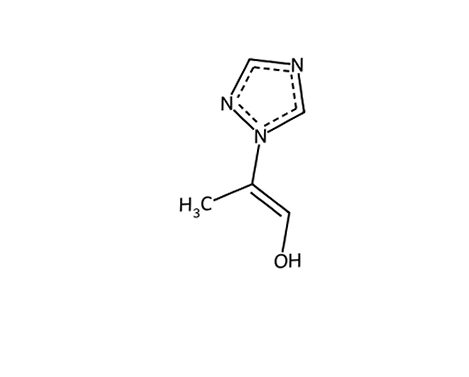 CC(=CO)n1cncn1